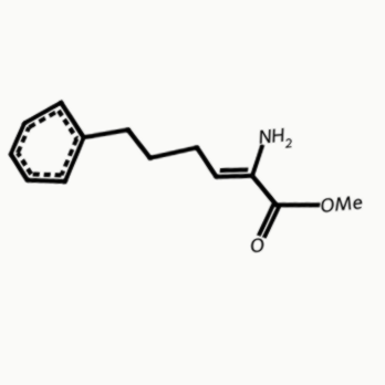 COC(=O)C(N)=CCCCc1ccccc1